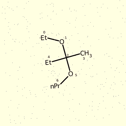 C[CH]OC(C)(CC)OCCC